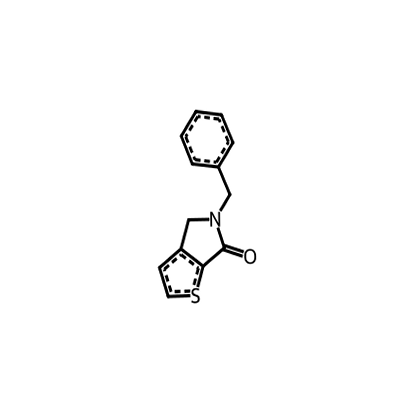 O=C1c2sccc2CN1Cc1ccccc1